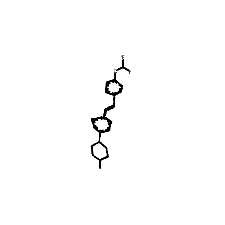 CC1CCC(c2ccc(C=Cc3ccc(OC(F)F)cc3)cc2)CC1